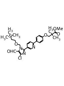 COC(=O)C(C)(C)COc1ccc(-c2ccc(-c3nc(Cl)c(C=O)n3COCC[Si](C)(C)C)cn2)cc1